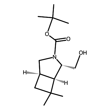 CC(C)(C)OC(=O)N1C[C@@H]2CC(C)(C)[C@@H]2[C@H]1CO